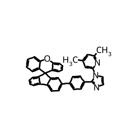 Cc1cc(C)nc(-n2ccnc2-c2ccc(-c3ccc4c(c3)C3(c5ccccc5Oc5ccccc53)c3ccccc3-4)cc2)c1